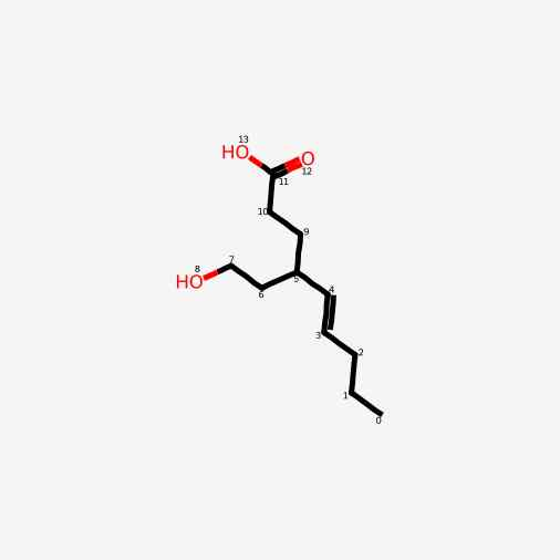 CCCC=CC(CCO)CCC(=O)O